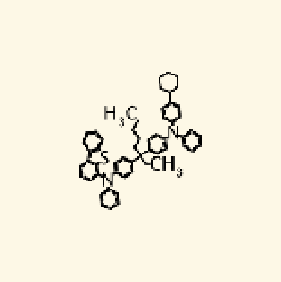 CCCCCC(CC)(c1ccc(N(c2ccccc2)c2ccc(C3CCCCC3)cc2)cc1)c1ccc(N(c2ccccc2)c2cccc3c2sc2ccccc23)cc1